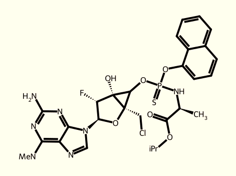 CNc1nc(N)nc2c1ncn2[C@@H]1O[C@]2(CCl)C(OP(=S)(N[C@@H](C)C(=O)OC(C)C)Oc3cccc4ccccc34)[C@]2(O)[C@H]1F